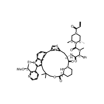 C=CC(=O)N1C[C@H](C)N(C(=O)N(C)[C@H](C(=O)N[C@H]2Cc3nc(cs3)-c3ccc4c(c3)c(c(-c3cccnc3[C@H](C)OC)n4CC)CC(C)(C)COC(=O)[C@@H]3CCCN(N3)C2=O)C(C)C)[C@@H](C)C1